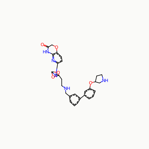 O=C1COc2ccc(N3CC4(CCNCc5cccc(-c6cccc(OC7CCNC7)c6)c5)OC3O4)nc2N1